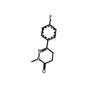 CN1N=C(c2ccc(F)cc2)CCC1=O